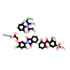 CCCCCOC(=O)COc1cc(N2C(=O)C3=C(CCCC3)C2=O)c(F)cc1Cl.CCc1cccc(C)c1N(C(=O)CCl)C(C)COC.CS(=O)(=O)c1ccc(C(=O)C2C(=O)CCCC2=O)c([N+](=O)[O-])c1